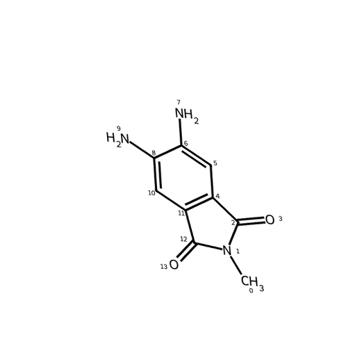 CN1C(=O)c2cc(N)c(N)cc2C1=O